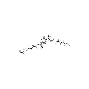 CCCCCCCCCC(=O)c1ccc(C(=O)CCCCCCCCC)o1